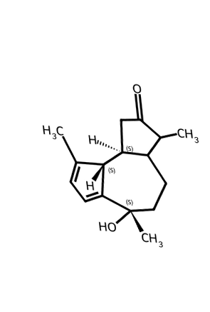 CC1=CC=C2[C@H]1[C@H]1CC(=O)C(C)C1CC[C@]2(C)O